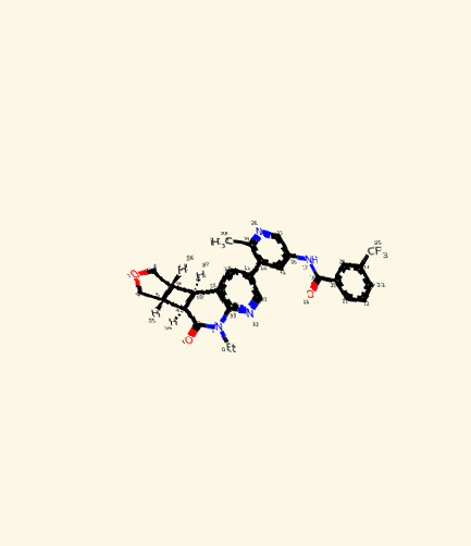 CCN1C(=O)[C@H]2[C@@H]3COC[C@@H]3[C@H]2c2cc(-c3cc(NC(=O)c4cccc(C(F)(F)F)c4)cnc3C)cnc21